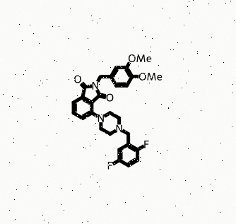 COc1ccc(CN2C(=O)c3cccc(N4CCN(Cc5cc(F)ccc5F)CC4)c3C2=O)cc1OC